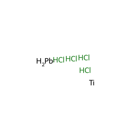 Cl.Cl.Cl.Cl.[PbH2].[Ti]